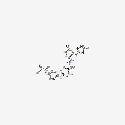 Cc1nnn(Cc2cc(Cl)ccc2/C=C/C(=O)N2CCN(Cc3ccc(OC(I)C(F)I)cn3)C[C@H]2C)n1